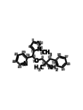 Cn1nccc1C(OCC(C)(N)Cc1ccccc1)c1ccccn1